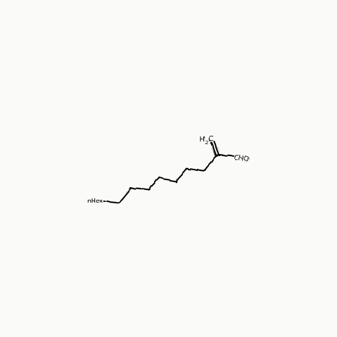 C=C([C]=O)CCCCCCCCCCCCC